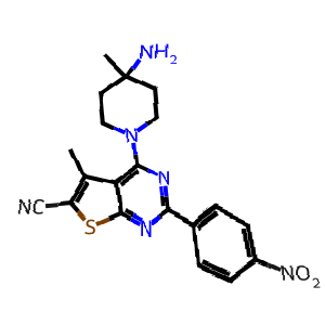 Cc1c(C#N)sc2nc(-c3ccc([N+](=O)[O-])cc3)nc(N3CCC(C)(N)CC3)c12